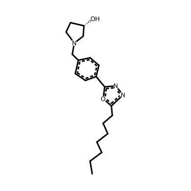 CCCCCCCc1nnc(-c2ccc(CN3CC[C@H](O)C3)cc2)o1